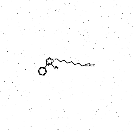 CCCCCCCCCCCCCCCCCC[n+]1ccn(-c2ccccc2)c1C(C)C